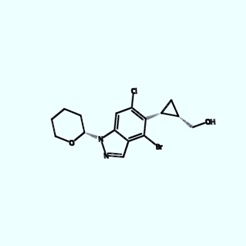 OC[C@H]1C[C@H]1c1c(Cl)cc2c(cnn2[C@H]2CCCCO2)c1Br